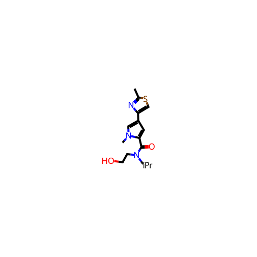 Cc1nc(-c2cc(C(=O)N(CCO)C(C)C)n(C)c2)cs1